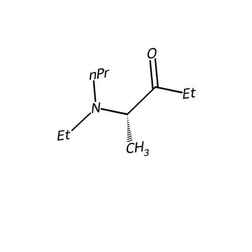 CCCN(CC)[C@@H](C)C(=O)CC